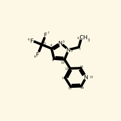 CCn1nc(C(F)(F)F)cc1-c1cccnc1